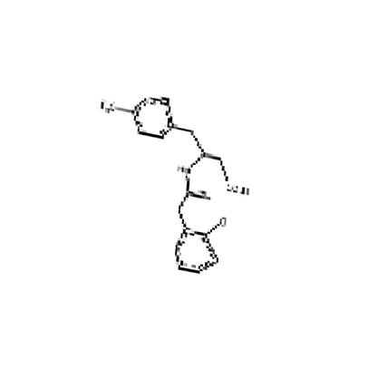 O=C(O)CC(Cc1ccc(C(F)(F)F)cc1)NC(=O)Cc1ccccc1Cl